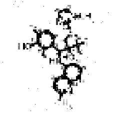 Cc1ccc2c(NC(c3ccc(F)c(O)c3F)C(O)(CSc3nccn3C)C(F)(F)F)cccc2n1